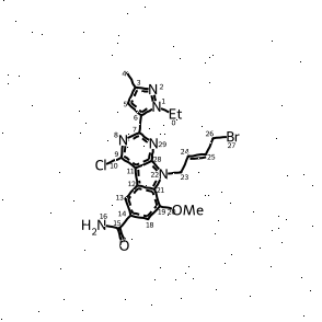 CCn1nc(C)cc1-c1nc(Cl)c2c3cc(C(N)=O)cc(OC)c3n(CC=CCBr)c2n1